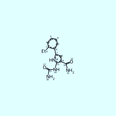 CCc1ccccc1-c1cc(C(N)=O)c(NC(N)=O)[nH]1